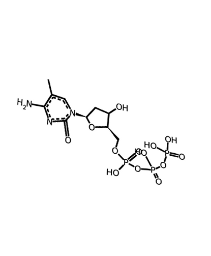 Cc1cn([C@H]2CC(O)[C@@H](COP(=O)(O)OP(=O)(O)OP(=O)(O)O)O2)c(=O)nc1N